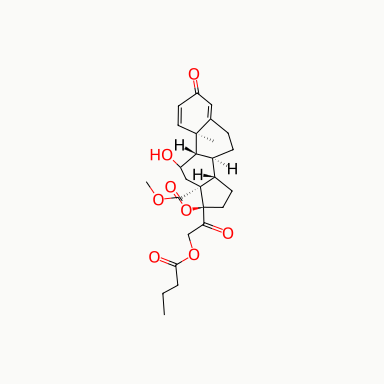 CCCC(=O)OCC(=O)[C@@]1(OC(=O)OC)CC[C@H]2[C@@H]3CCC4=CC(=O)C=C[C@]4(C)[C@H]3C(O)C[C@@]21C